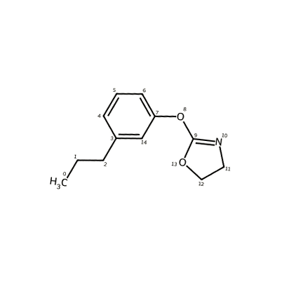 CCCc1cccc(OC2=NCCO2)c1